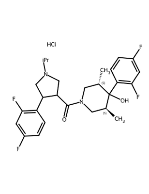 CC(C)N1CC(C(=O)N2C[C@H](C)C(O)(c3ccc(F)cc3F)[C@@H](C)C2)C(c2ccc(F)cc2F)C1.Cl